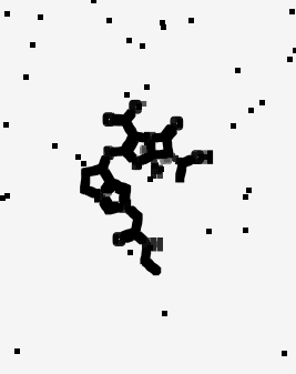 CCNC(=O)Cn1cc2[n+](c1)CCC2SC1=C(C(=O)[O-])N2C(=O)[C@H](C(C)O)[C@H]2S1